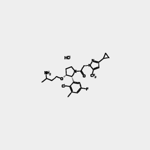 Cc1cc(F)cc([C@@H]2[C@H](OCCC(C)N)CCN2C(=O)Cn2nc(C3CC3)cc2C(F)(F)F)c1Cl.Cl